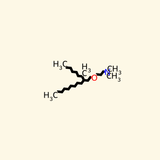 CCCCCCCCCC(CCOCCCN(C)C)C(C)CCCCCC